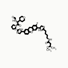 CO[C@H](C)CC(=O)NCCCCC1=NCC(c2cc3c(cc2F)Cc2cc(C4CN=C([C@@H]5CCCN5C(=O)[C@@H](NC=O)C5CCOCC5)N4)ccc2O3)N1